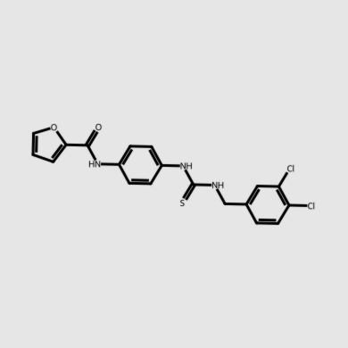 O=C(Nc1ccc(NC(=S)NCc2ccc(Cl)c(Cl)c2)cc1)c1ccco1